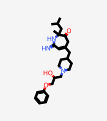 CC(C)CC1(C)NC(=N)C=C(CC2CCN(CC(O)COc3ccccc3)CC2)CC1=O